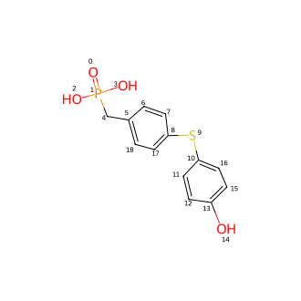 O=P(O)(O)Cc1ccc(Sc2ccc(O)cc2)cc1